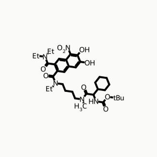 CCN(CC)C(=O)c1cc2c([N+](=O)[O-])c(O)c(O)cc2cc1C(=O)N(CC)CCCCN(C)C(=O)C(NC(=O)OC(C)(C)C)C1CCCCC1